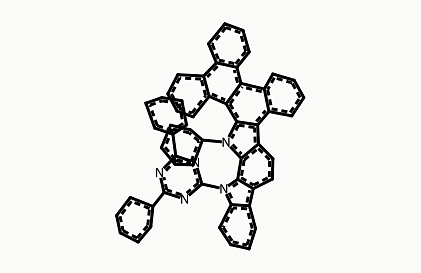 c1ccc(-c2nc(-c3ccccc3)nc(-n3c4ccccc4c4ccc5c6c7ccccc7c7c8ccccc8c8ccccc8c7c6n(-c6ccccc6)c5c43)n2)cc1